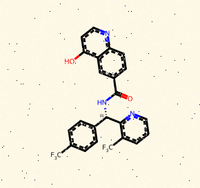 O=C(N[C@@H](c1ccc(C(F)(F)F)cc1)c1ncccc1C(F)(F)F)c1ccc2nccc(O)c2c1